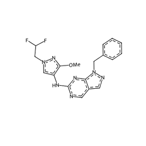 COc1nn(CC(F)F)cc1Nc1ncc2cnn(Cc3ccccc3)c2n1